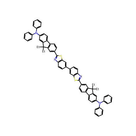 CCC1(CC)c2cc(-c3nc4ccc(-c5ccc6nc(-c7ccc8c(c7)C(CC)(CC)c7cc(N(c9ccccc9)c9ccccc9)ccc7-8)sc6c5)cc4s3)ccc2-c2ccc(N(c3ccccc3)c3ccccc3)cc21